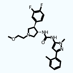 COCCN1C[C@@H](NC(=O)Nc2cc(-c3ccccc3C)nn2C)[C@H](c2ccc(F)c(F)c2)C1